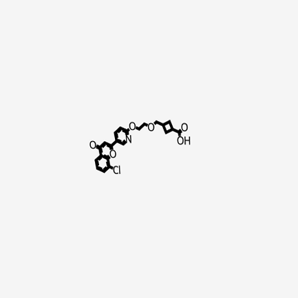 O=C(O)C1CC(COCCOc2ccc(-c3cc(=O)c4cccc(Cl)c4o3)cn2)C1